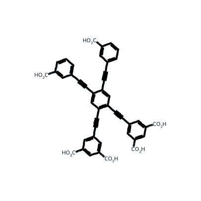 O=C(O)c1cccc(C#Cc2cc(C#Cc3cc(C(=O)O)cc(C(=O)O)c3)c(C#Cc3cc(C(=O)O)cc(C(=O)O)c3)cc2C#Cc2cccc(C(=O)O)c2)c1